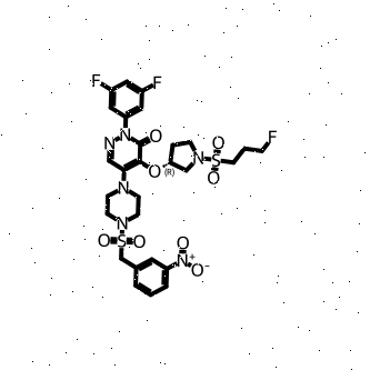 O=c1c(O[C@@H]2CCN(S(=O)(=O)CCCF)C2)c(N2CCN(S(=O)(=O)Cc3cccc([N+](=O)[O-])c3)CC2)cnn1-c1cc(F)cc(F)c1